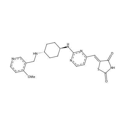 COc1ccncc1CN[C@H]1CC[C@H](Nc2nccc(/C=C3\SC(=O)NC3=O)n2)CC1